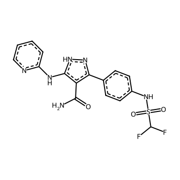 NC(=O)c1c(-c2ccc(NS(=O)(=O)C(F)F)cc2)n[nH]c1Nc1ccccn1